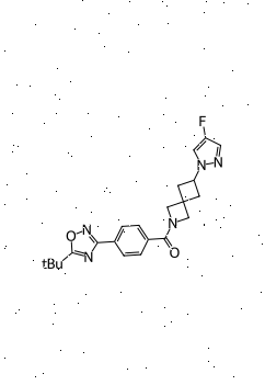 CC(C)(C)c1nc(-c2ccc(C(=O)N3CC4(CC(n5cc(F)cn5)C4)C3)cc2)no1